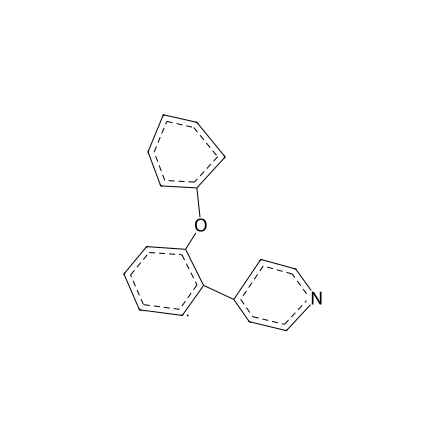 [c]1cccc(Oc2ccccc2)c1-c1ccncc1